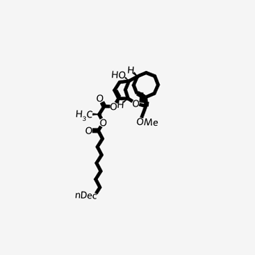 CCCCCCCCCCCCCCCCCC(=O)O[C@@H](C)C(=O)OC1=CC[C@]2(O)C[C@H]1Oc1c(OC)ccc3c1CCCC[C@@H]2C3